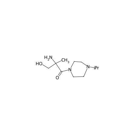 CC(C)N1CCN(C(=O)C(C)(N)CO)CC1